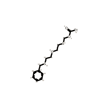 [CH2]CC(=O)OCSCCOCCSCc1[c]cccc1